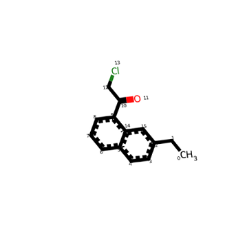 CCc1ccc2cccc(C(=O)CCl)c2c1